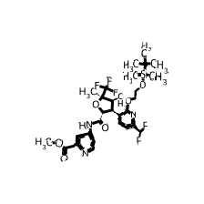 COC(=O)c1cc(NC(=O)[C@@H]2O[C@@](C)(C(F)(F)F)[C@@H](C)[C@H]2c2ccc(C(F)F)nc2OCCO[Si](C)(C)C(C)(C)C)ccn1